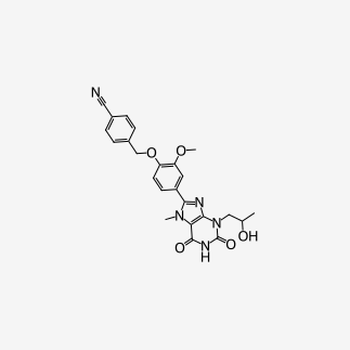 COc1cc(-c2nc3c(c(=O)[nH]c(=O)n3CC(C)O)n2C)ccc1OCc1ccc(C#N)cc1